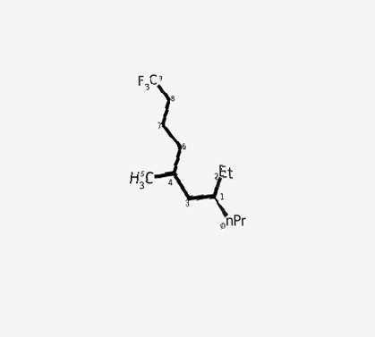 CCC[C@H](CC)CC(C)CCCC(F)(F)F